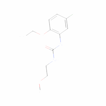 CCOc1ccc(Cl)cc1NC(=O)NCCOC